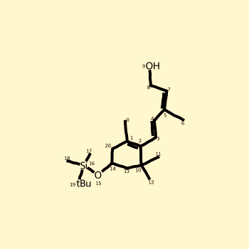 CC1=C(/C=C/C(C)=C\CO)C(C)(C)CC(O[Si](C)(C)C(C)(C)C)C1